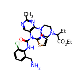 CCOC(=O)C(CC)N1CCN(c2nc(C)ncc2N(C(=O)Nc2c(Cl)cccc2CN)c2nccs2)CC1